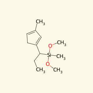 CCC(C1=CC(C)=CC1)[Si](C)(OC)OC